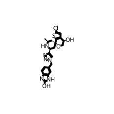 C[C@H]1C[C@@]2(C[C@@H](c3cn(Cc4ccc5nc(O)[nH]c5c4)nn3)N1)OC[C@@H](O)c1cc(Cl)sc12